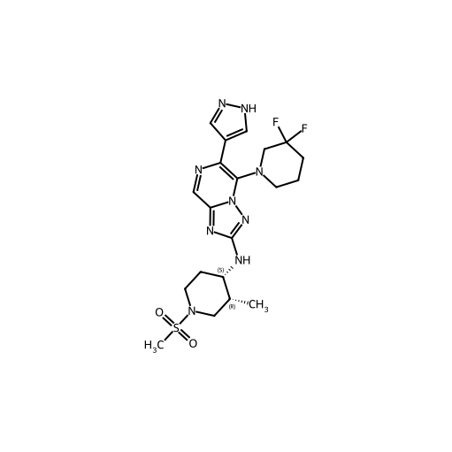 C[C@@H]1CN(S(C)(=O)=O)CC[C@@H]1Nc1nc2cnc(-c3cn[nH]c3)c(N3CCCC(F)(F)C3)n2n1